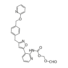 O=COCOC(=O)Nc1ncccc1-c1cc(Cc2ccc(COc3ccccn3)cc2)no1